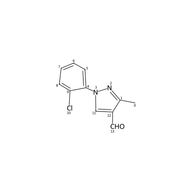 Cc1nn(-c2ccccc2Cl)cc1C=O